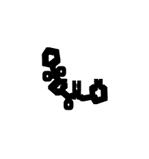 O=C(NCc1cccnc1)c1ccc(S(=O)(=O)c2ccccc2)s1